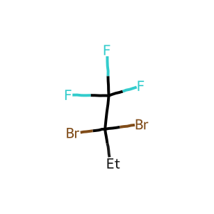 CCC(Br)(Br)C(F)(F)F